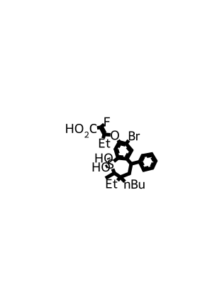 CCCCC1(CC)CC(c2ccccc2)c2cc(Br)c(O/C(CC)=C(\F)C(=O)O)cc2S(O)(O)C1C